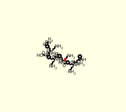 COc1ccc(CC(=O)[C@H](CCCCN)NC(=O)c2cc(CC(=O)[C@H](CCCCN)NC(=O)c3cc(CC(=O)[C@H](CCCCN)NC(=O)c4cc(CC(=O)[C@H](CCCCN)NC(=O)[C@@H](N)Cc5c[nH]c6ccccc56)ccc4OC)ccc3OC)ccc2OCC(=O)O)cc1C(N)=O